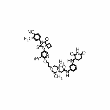 CC(C)c1cc(N2C(=S)N(c3ccc(C#N)c(C(F)(F)F)c3)C(=O)C23CCC3)cnc1OCCN1C[C@@H](C)N(CC(=O)Nc2cccc(NC3CCC(=O)NC3=O)c2)[C@@H](C)C1